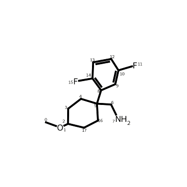 COC1CCC(CN)(c2cc(F)ccc2F)CC1